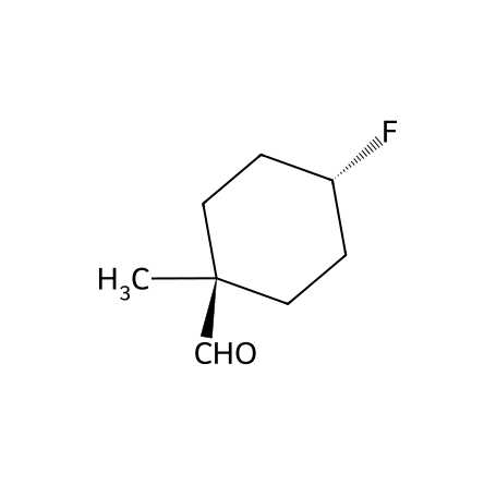 C[C@]1(C=O)CC[C@H](F)CC1